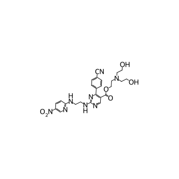 N#Cc1ccc(-c2nc(NCCNc3ccc([N+](=O)[O-])cn3)ncc2C(=O)OCCN(CCO)CCO)cc1